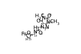 CN1C(=O)C2C(N=CN2CC(=O)NCc2ccc(F)o2)N(C)C1=O